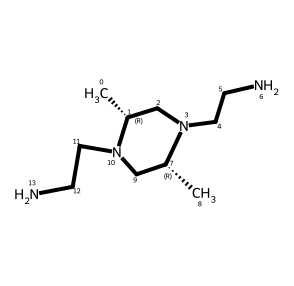 C[C@@H]1CN(CCN)[C@H](C)CN1CCN